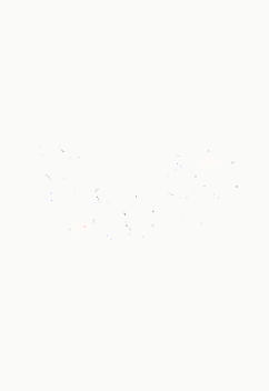 Cc1c(-c2ccc3c(c2)/C(=C/c2c[nH]c4ccccc24)C(=O)N3)cnc2c1NCCO2